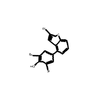 CCc1[c]c2c(-c3cc(Br)c(O)c(Br)c3)cccc2o1